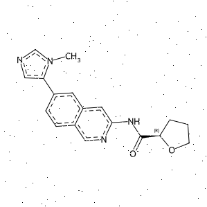 Cn1cncc1-c1ccc2cnc(NC(=O)[C@H]3CCCO3)cc2c1